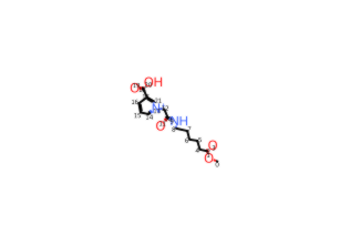 COC(=O)CCCCCNC(=O)C[n+]1cccc(C(=O)O)c1